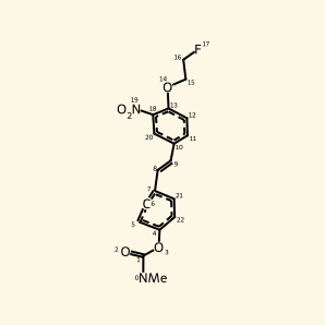 CNC(=O)Oc1ccc(/C=C/c2ccc(OCCF)c([N+](=O)[O-])c2)cc1